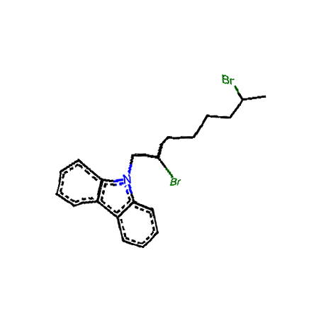 CC(Br)CCCCC(Br)Cn1c2ccccc2c2ccccc21